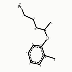 [CH2]c1ccccc1OC(C)CCCC(C)C